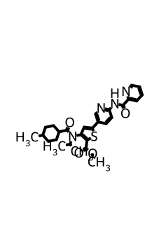 COC(=O)c1sc(-c2ccc(NC(=O)c3ccccn3)nc2)cc1N(C(=O)C1CCC(C)CC1)C(C)C